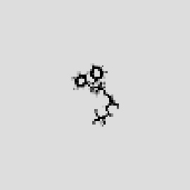 C/C(=C/CCC(C)(C)[Si](O)(c1ccccc1)c1ccccc1)CCC1OC1(C)C